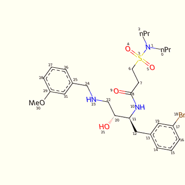 CCCN(CCC)S(=O)(=O)CCC(=O)N[C@@H](Cc1cccc(Br)c1)[C@H](O)CNCc1cccc(OC)c1